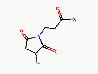 CC(C)C(=O)CCN1C(=O)CC(C(C)C)C1=O